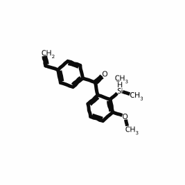 C=Cc1ccc(C(=O)c2cccc(OC)c2[SiH](C)C)cc1